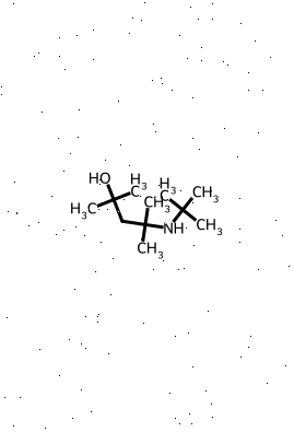 CC(C)(O)CC(C)(C)NC(C)(C)C